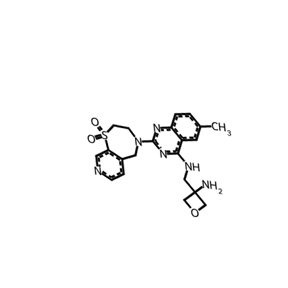 Cc1ccc2nc(N3CCS(=O)(=O)c4cnccc4C3)nc(NCC3(N)COC3)c2c1